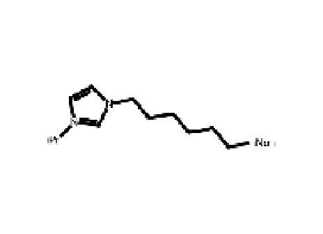 CCCCCCCCCCCCCCCn1cc[n+](C(C)C)c1